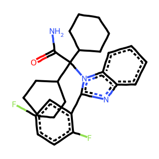 NC(=O)C(C1CCCCC1)(C1CCCCC1)n1c(-c2cc(F)ccc2F)nc2ccccc21